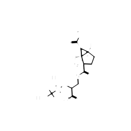 COC(=O)[C@H]1[C@@H]2CC[C@@](N)(C(=O)NCC(O[Si](C)(C)C(C)(C)C)C(=O)O)[C@@H]21